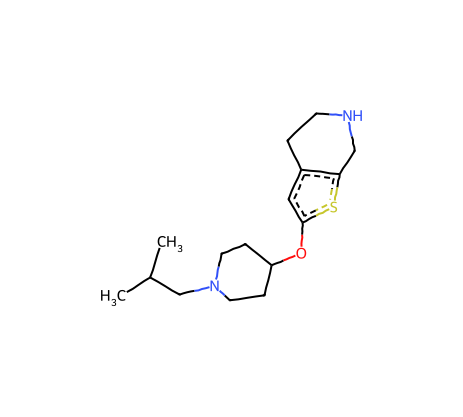 CC(C)CN1CCC(Oc2cc3c(s2)CNCC3)CC1